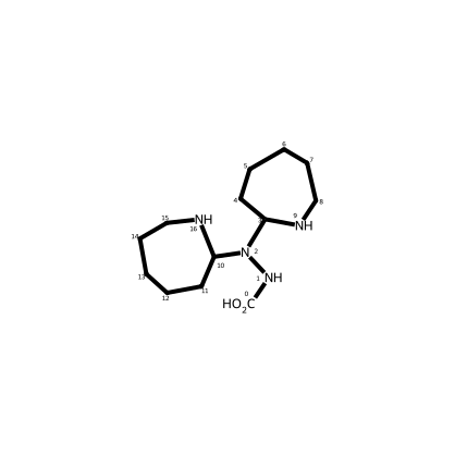 O=C(O)NN(C1CCCCCN1)C1CCCCCN1